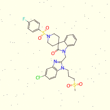 CS(=O)(=O)CCCn1c(CN2C(=O)C3(CCN(S(=O)(=O)c4ccc(F)cc4)CC3)c3ccccc32)nc2cc(Cl)ccc21